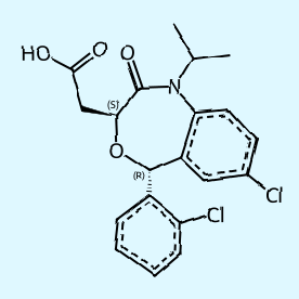 CC(C)N1C(=O)[C@H](CC(=O)O)O[C@@H](c2ccccc2Cl)c2cc(Cl)ccc21